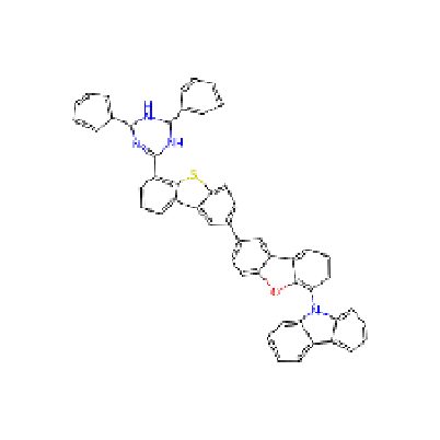 c1ccc(C2N=C(c3cccc4c3sc3ccc(-c5ccc6oc7c(-n8c9ccccc9c9ccccc98)cccc7c6c5)cc34)NC(c3ccccc3)N2)cc1